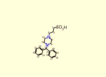 O=S(=O)(O)CCCN1CCN(C(c2ccccc2)c2ccccc2)CC1